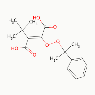 CC(C)(C)C(C(=O)O)=C(OOC(C)(C)c1ccccc1)C(=O)O